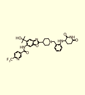 CC(C)(O)c1cc2nc(C3CCN(Cc4ccccc4NC4CCC(=O)NC4=O)CC3)oc2cc1NC(=O)c1ccc(C(F)(F)F)nc1